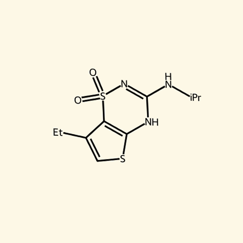 CCc1csc2c1S(=O)(=O)N=C(NC(C)C)N2